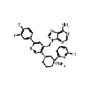 Nc1ncnc2c1ncn2Cc1cc(-c2ccc(F)c(F)c2)ncc1N1CCC[C@](N)(c2cccc(Cl)n2)C1